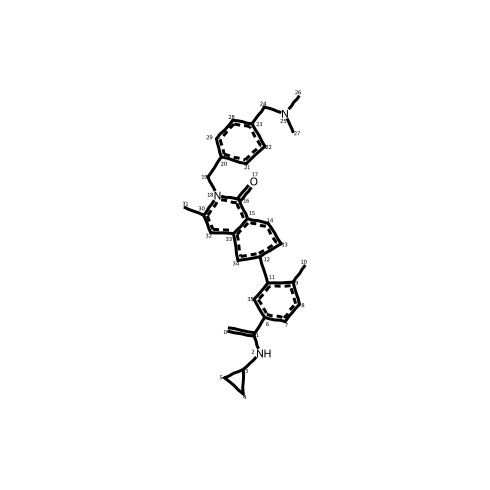 C=C(NC1CC1)c1ccc(C)c(-c2ccc3c(=O)n(Cc4ccc(CN(C)C)cc4)c(C)cc3c2)c1